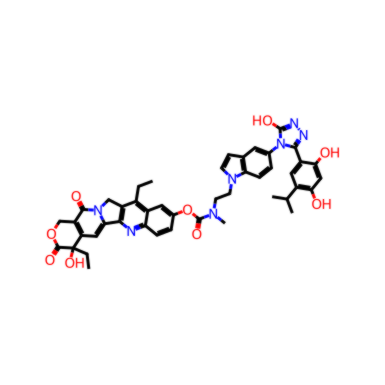 CCc1c2c(nc3ccc(OC(=O)N(C)CCn4ccc5cc(-n6c(O)nnc6-c6cc(C(C)C)c(O)cc6O)ccc54)cc13)-c1cc3c(c(=O)n1C2)COC(=O)C3(O)CC